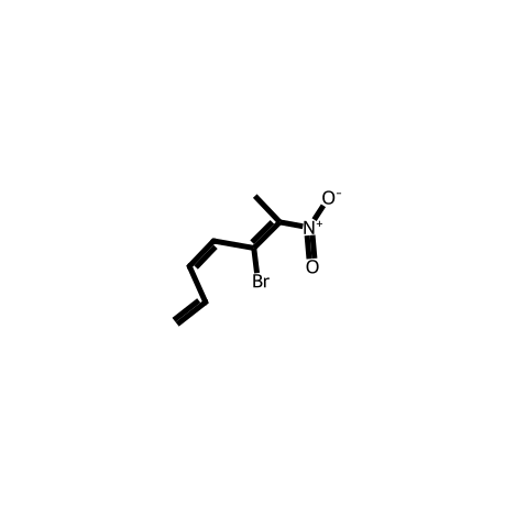 C=C/C=C\C(Br)=C(/C)[N+](=O)[O-]